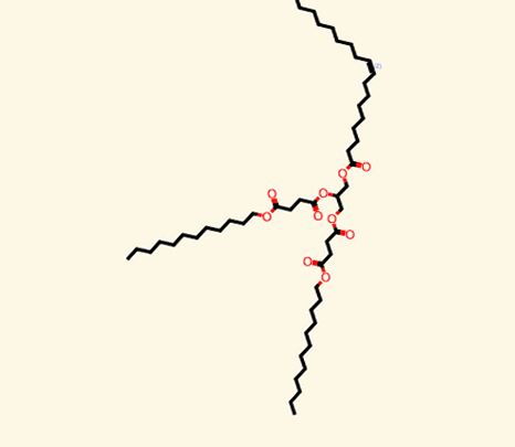 CCCCCCCC/C=C\CCCCCCCC(=O)OCC(COC(=O)CCC(=O)OCCCCCCCCCCCC)OC(=O)CCC(=O)OCCCCCCCCCCCC